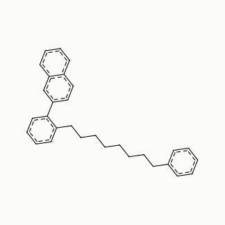 [c]1cccc(-c2ccc3ccccc3c2)c1CCCCCCCCc1ccccc1